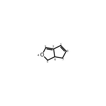 C1=CC2=COCC2C1